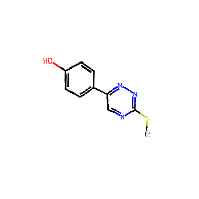 CCSc1ncc(-c2ccc(O)cc2)nn1